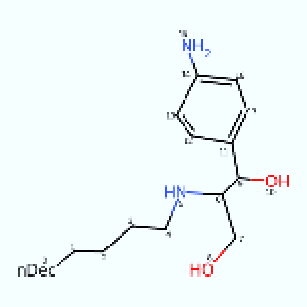 CCCCCCCCCCCCCCNC(CO)C(O)c1ccc(N)cc1